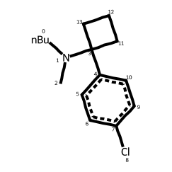 CCCCN(C)C1(c2ccc(Cl)cc2)CCC1